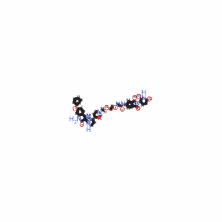 NC(=O)c1c(-c2ccc(Oc3ccccc3)cc2)nn2c1NCC[C@H]2C1CCN(CCOCCOCC(=O)Nc2ccc3c(c2)C(=O)N(C2CCC(=O)NC2=O)C3=O)CC1